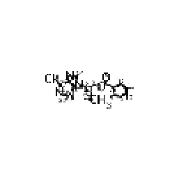 CO[C@H](COC(=O)c1ccccc1)n1cnc2c(Cl)ncnc21